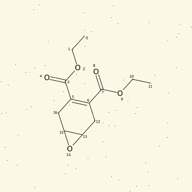 CCOC(=O)C1=C(C(=O)OCC)CC2OC2C1